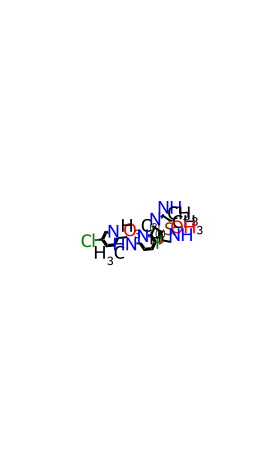 Cc1cc(Cl)cnc1C(=O)Nc1ccc(F)c([C@@]2(C)N=C(N)C(C)(C)S3(O)NCC[C@H]23)n1